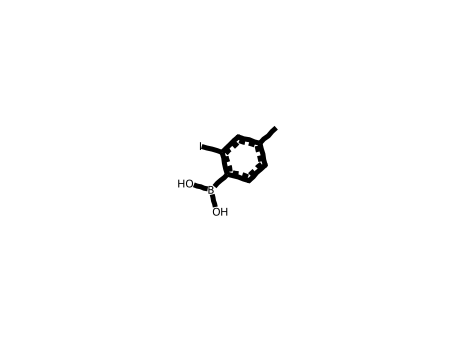 Cc1ccc(B(O)O)c(I)c1